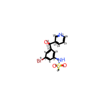 CS(=O)(=O)Nc1cc(Br)cc(C(=O)c2cccnc2)c1